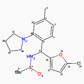 Cc1ccc(C(N[S+]([O-])C(C)(C)C)c2ccc(Cl)o2)c(N2CCCC2)c1